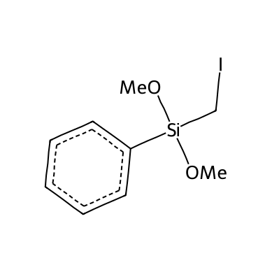 CO[Si](CI)(OC)c1ccccc1